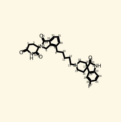 O=C1CCC(N2Cc3c(CCCCCN4CCC5(CC4)C(=O)Nc4ccc(F)cc45)cccc3C2=O)C(=O)N1